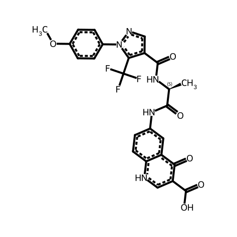 COc1ccc(-n2ncc(C(=O)N[C@@H](C)C(=O)Nc3ccc4[nH]cc(C(=O)O)c(=O)c4c3)c2C(F)(F)F)cc1